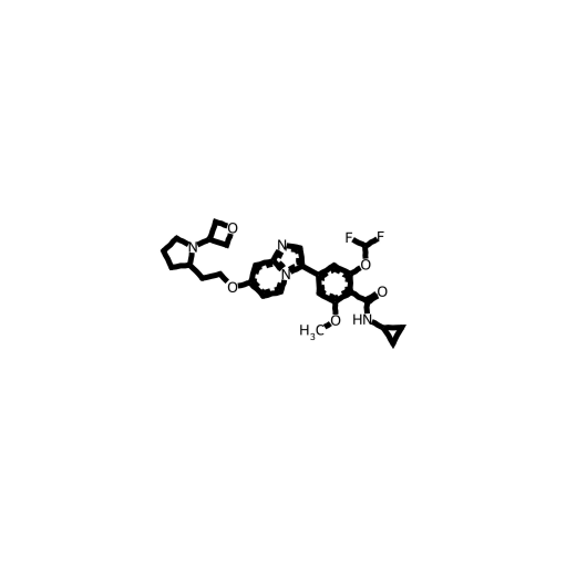 COc1cc(-c2cnc3cc(OCCC4CCCN4C4COC4)ccn23)cc(OC(F)F)c1C(=O)NC1CC1